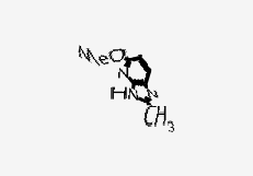 COc1ccc2nc(C)[nH]c2n1